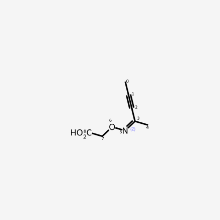 CC#C/C(C)=N\OCC(=O)O